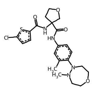 Cc1cc(NC(=O)C2(NC(=O)c3ccc(Cl)s3)CCOC2)ccc1N1CCOCCN1C